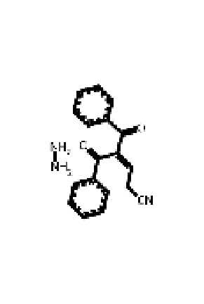 N#CCC=C(C(=O)c1ccccc1)C(=O)c1ccccc1.NN